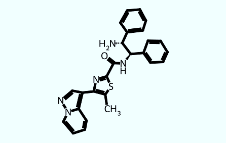 Cc1sc(C(=O)N[C@H](c2ccccc2)[C@H](N)c2ccccc2)nc1-c1cnn2ccccc12